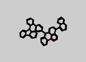 C1=C(N(c2ccc(-c3ccccc3-n3c4ccccc4c4ccccc43)cc2)c2ccccc2-c2ccccc2)c2ccccc2C(c2cccc3ccccc23)C1